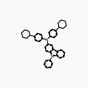 c1ccc(-n2c3ccccc3c3cc(N(c4ccc(C5CCCCC5)cc4)c4ccc(C5CCCCC5)cc4)ccc32)cc1